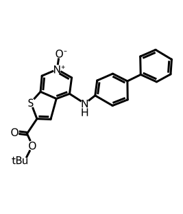 CC(C)(C)OC(=O)c1cc2c(Nc3ccc(-c4ccccc4)cc3)c[n+]([O-])cc2s1